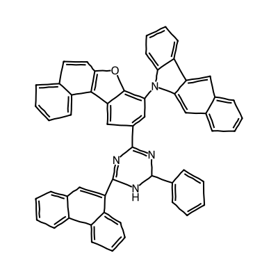 c1ccc(C2N=C(c3cc(-n4c5ccccc5c5cc6ccccc6cc54)c4oc5ccc6ccccc6c5c4c3)N=C(c3cc4ccccc4c4ccccc34)N2)cc1